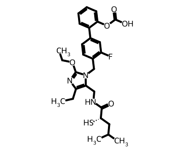 CCOc1nc(CC)c(CNC(=O)[C@@H](S)CC(C)C)n1Cc1ccc(-c2ccccc2OC(=O)O)cc1F